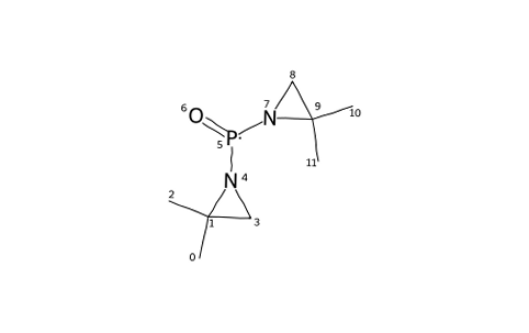 CC1(C)CN1[P](=O)N1CC1(C)C